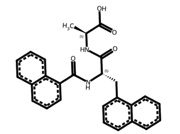 C[C@H](NC(=O)[C@H](Cc1cccc2ccccc12)NC(=O)c1cccc2ccccc12)C(=O)O